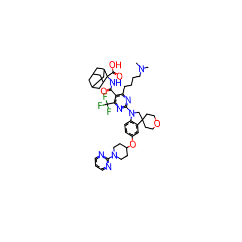 CN(C)CCCCc1nc(N2CC3(CCOCC3)c3cc(OC4CCN(c5ncccn5)CC4)ccc32)nc(C(F)(F)F)c1C(=O)NC1(C(=O)O)C2CC3CC(C2)CC1C3